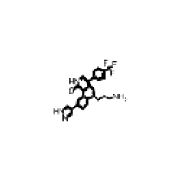 NCCCc1cc2c(-c3ccc(C(F)(F)F)cc3)c[nH]c(=O)c2c2cc(-c3cn[nH]c3)ccc12